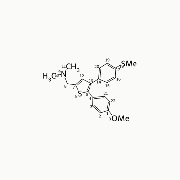 COc1ccc(-c2sc(CN(C)C)cc2-c2ccc(SC)cc2)cc1